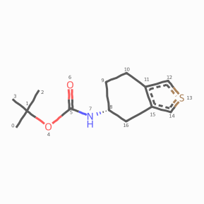 CC(C)(C)OC(=O)N[C@@H]1CCc2cscc2C1